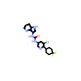 O=C(Nc1cnc(C2CCC(F)(F)CC2)c(Cl)c1)Nc1c[nH]c2cccnc12